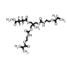 C=C(C)C(=O)OCCNC(=O)OCC(C)(COC(=O)NCCOC(=O)C(=C)C)COC(=O)C(F)(F)C(F)(F)C(=O)OC